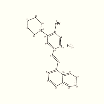 CCCc1cnc(/C=C/c2cccc3ccccc23)cc1N1CCCCC1.Cl